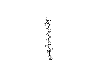 CS(C)(C)CCOCCCOCCN=C=S